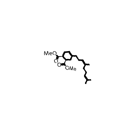 COC(=O)[C@H]1CC=C(CCC=C(C)CCC=C(C)C)C[C@H]1C(=O)OC